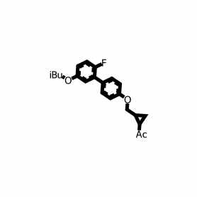 CCC(C)Oc1ccc(F)c(-c2ccc(OCC3CC3C(C)=O)cc2)c1